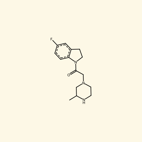 CC1CN(CC(=O)N2CCc3cc(F)ccc32)CCN1